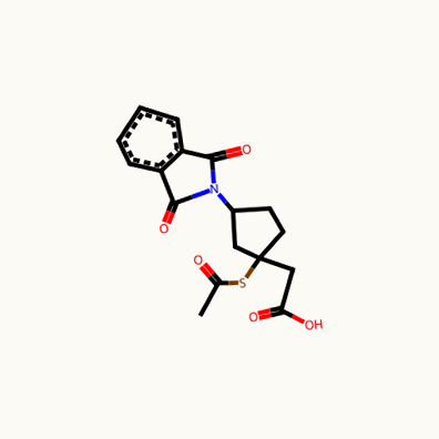 CC(=O)SC1(CC(=O)O)CCC(N2C(=O)c3ccccc3C2=O)C1